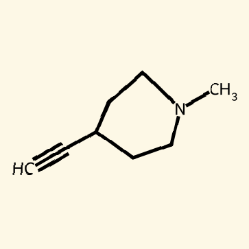 C#CC1CCN(C)CC1